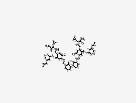 C/N=C/c1cncc(COc2cc(OCc3cccc(-c4cccc(COc5cc(OCc6cncc(/C=N/C)c6)c(CN[C@H](C(N)=O)C6CC6)cc5Cl)c4C)c3C)c(Cl)cc2CN[C@H](C(N)=O)C2CC2)c1